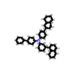 c1ccc(-c2ccc(N(c3ccc(-c4ccc5ccccc5c4)cc3)c3cccc(-c4cccc5ccccc45)c3)cc2)cc1